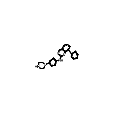 c1ccc(-c2cccc3cnc(Nc4ccc(N5CCNCC5)cc4)nc23)cc1